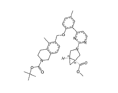 COC(=O)[C@]12C[C@H]1CN(c1nccc(-c3cc(C)ccc3OCc3ccc4c(c3C)CCN(C(=O)OC(C)(C)C)C4)n1)C2